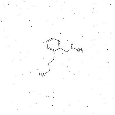 CCCCc1cccnc1CNC